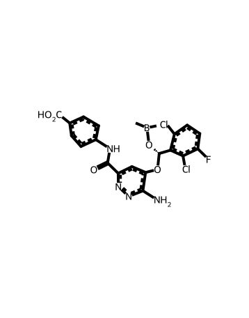 CB(C)O[C@@H](Oc1cc(C(=O)Nc2ccc(C(=O)O)cc2)nnc1N)c1c(Cl)ccc(F)c1Cl